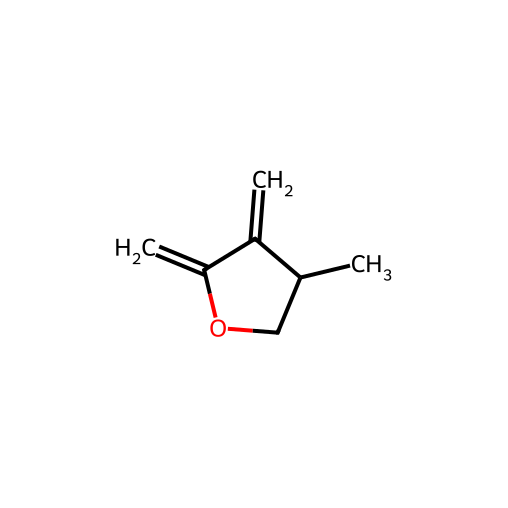 C=C1OCC(C)C1=C